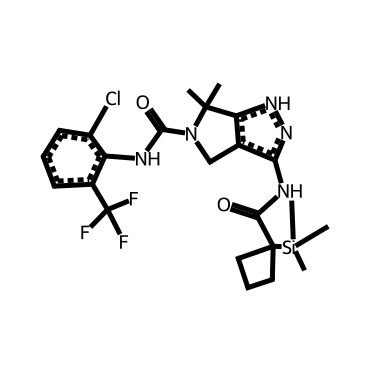 CC1(C)c2[nH]nc(NC(=O)C3([Si](C)(C)C)CCC3)c2CN1C(=O)Nc1c(Cl)cccc1C(F)(F)F